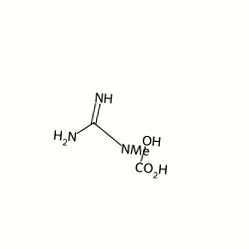 CNC(=N)N.O=C(O)O